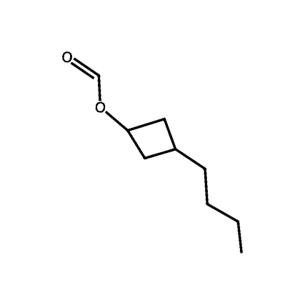 CCCCC1CC(OC=O)C1